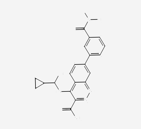 CC(Nc1c(C(N)=O)nnc2cc(-c3cccc(C(=O)N(C)C)c3)ccc12)C1CC1